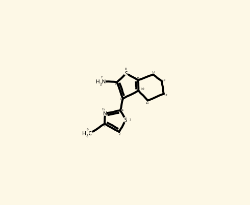 Cc1csc(-c2c(N)sc3c2CCCC3)n1